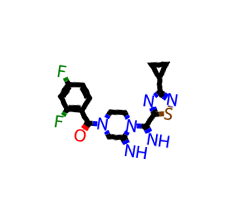 N=C1CN(C(=O)c2ccc(F)cc2F)CCN1C(=N)c1nc(C2CC2)ns1